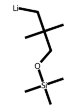 [Li][CH2]C(C)(C)CO[Si](C)(C)C